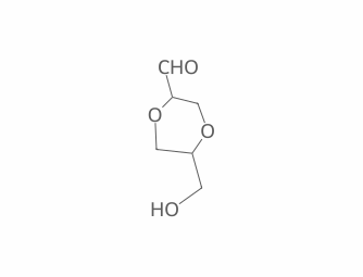 O=CC1COC(CO)CO1